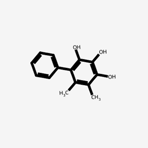 Cc1c(C)c(-c2ccccc2)c(O)c(O)c1O